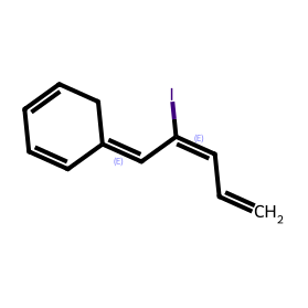 C=C/C=C(I)\C=C1\C=CC=CC1